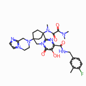 Cc1cc(CNC(=O)c2nc3n(c(=O)c2O)CC2(N4CCn5ccnc5C4)CCC3(N(C)C(=O)C(=O)N(C)C)CC2)ccc1F